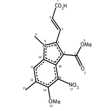 COC(=O)c1c(C=CC(=O)O)n(C)c2cc(C)c(OC)c([N+](=O)[O-])c12